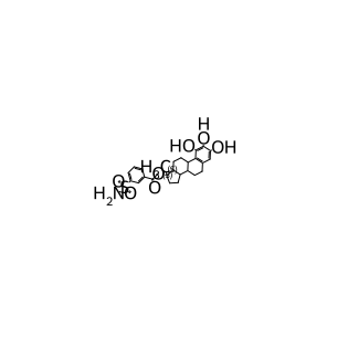 C[C@]12CCC3c4c(cc(O)c(O)c4O)CCC3C1CC[C@@H]2OC(=O)c1cccc(S(N)(=O)=O)c1